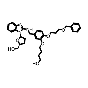 OCCCCOc1cc(CNc2nc3ccccc3n2[C@H]2CC[C@@H](CO)O2)ccc1OCCCOCc1ccccc1